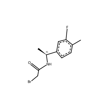 Cc1ccc([C@H](C)NC(=O)CBr)cc1F